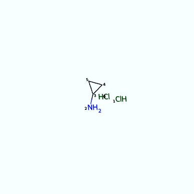 Cl.Cl.NC1CC1